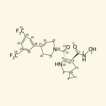 O=C(NO)[C@H]1CC2(CC2)CN[C@@H]1C(=O)N1CC=C(c2cc(C(F)(F)F)cc(C(F)(F)F)c2)CC1